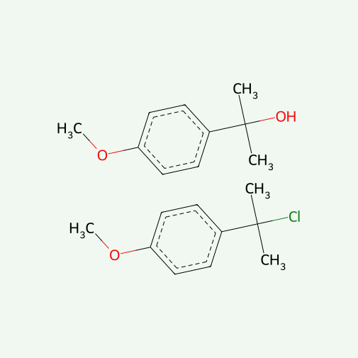 COc1ccc(C(C)(C)Cl)cc1.COc1ccc(C(C)(C)O)cc1